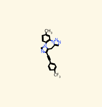 Cc1ccc2c(c1)-n1nncc1Cc1c(C#Cc3ccc(C(F)(F)F)cc3)ncn1-2